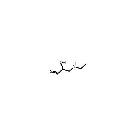 CCNCC(O)[C]=S